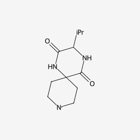 CC(C)C1NC(=O)C2(CC[N]CC2)NC1=O